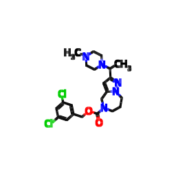 CC(c1cc2n(n1)CCCN(C(=O)OCc1cc(Cl)cc(Cl)c1)C2)N1CCN(C)CC1